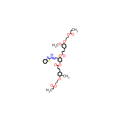 C=CC(=O)OCCCOc1ccc(/C=C/C(=O)Oc2ccc(OC(=O)/C=C/c3ccc(OCCCOC(=O)C=C)c(OC)c3)c(/C=N/Nc3nc4ccccc4s3)c2)cc1C